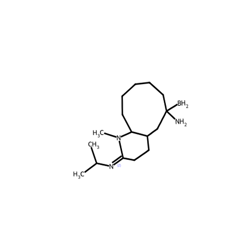 BC1(N)CCCCCC2C(CC/C(=N/C(C)C)N2C)C1